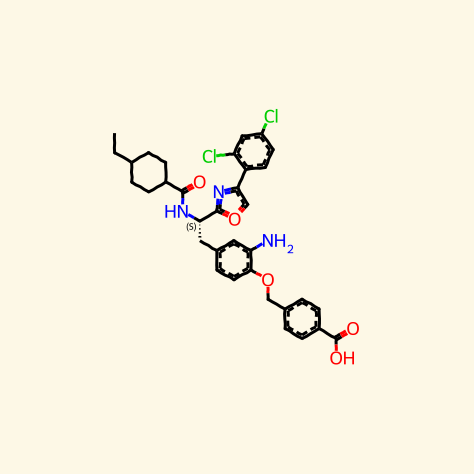 CCC1CCC(C(=O)N[C@@H](Cc2ccc(OCc3ccc(C(=O)O)cc3)c(N)c2)c2nc(-c3ccc(Cl)cc3Cl)co2)CC1